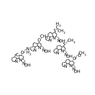 CC(C)Sc1cc(C=NO)nc2c1ccc1cccnc12.CCCSc1cc(C=NO)nc2c1ccc1cccnc12.CCOc1cc(C=NO)nc2c1ccc1cccnc12.COCCOc1cc(C=NO)nc2c1ccc1cccnc12.NCCOc1cc(C=NO)nc2c1ccc1cccnc12